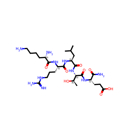 CC(C)C[C@H](NC(=O)[C@H](CCCNC(=N)N)NC(=O)[C@@H](N)CCCCN)C(=O)N[C@H](C(=O)N[C@@H](CCC(=O)O)C(N)=O)[C@@H](C)O